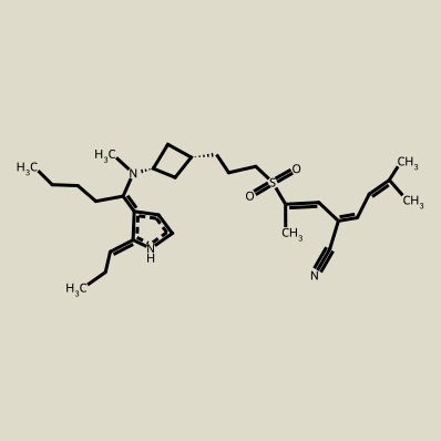 CC/C=c1\[nH]cc\c1=C(\CCCC)N(C)[C@H]1C[C@@H](CCCS(=O)(=O)/C(C)=C/C(C#N)=C\C=C(C)C)C1